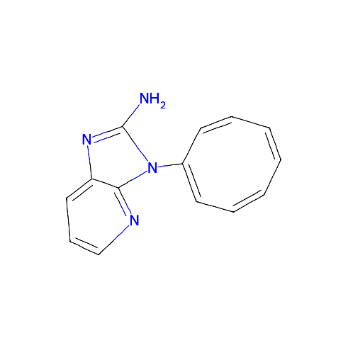 Nc1nc2cccnc2n1C1=CC=CC=CC=C1